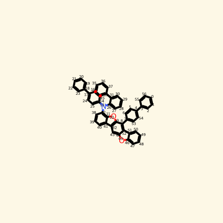 c1ccc(-c2ccc(-c3c4oc5c(N(c6ccc(-c7ccccc7)cc6)c6ccccc6-c6ccccc6)cccc5c4cc4oc5ccccc5c34)cc2)cc1